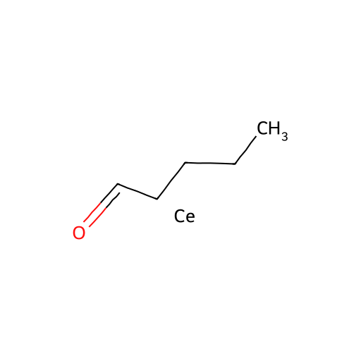 CCCCC=O.[Ce]